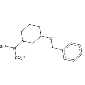 CC(C)(C)N(C(=O)O)N1CCCC(OCc2ccccc2)C1